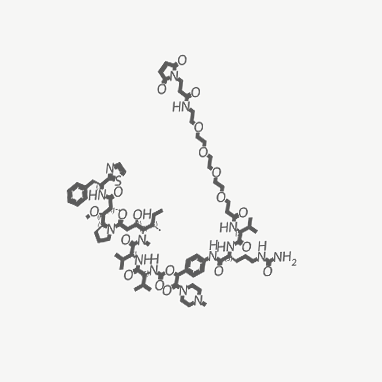 CC[C@H](C)[C@@H]([C@H](O)CC(=O)N1CCC[C@H]1[C@H](OC)[C@@H](C)C(=O)N[C@@H](Cc1ccccc1)c1nccs1)N(C)C(=O)[C@@H](NC(=O)[C@@H](NC(=O)OC(C(=O)N1CCN(C)CC1)c1ccc(NC(=O)[C@H](CCCNC(N)=O)NC(=O)[C@@H](NC(=O)CCOCCOCCOCCOCCNC(=O)CCN2C(=O)C=CC2=O)C(C)C)cc1)C(C)C)C(C)C